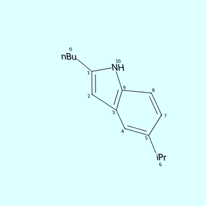 CCCCc1cc2cc(C(C)C)ccc2[nH]1